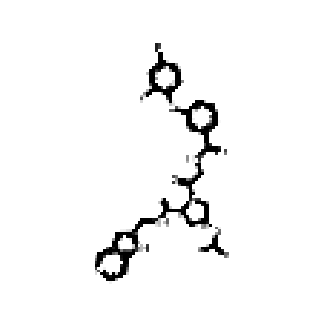 O=C(NCC(=O)N1C[C@H](OC(F)F)C[C@H]1C(=O)NCc1cc2cnccc2[nH]1)c1cccc(Oc2ccc(F)cc2F)c1